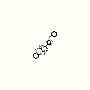 O=C(N[C@@H]1CSc2ccccc2NC1=O)c1cc(Cc2ccccc2)on1